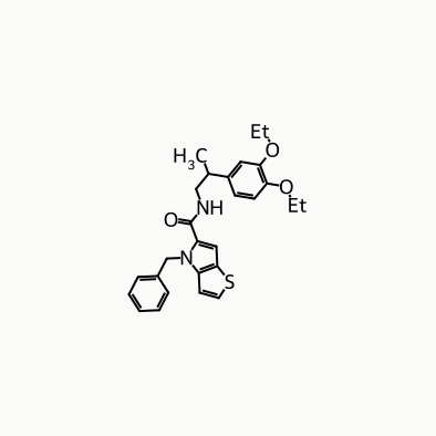 CCOc1ccc(C(C)CNC(=O)c2cc3sccc3n2Cc2ccccc2)cc1OCC